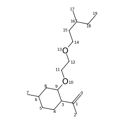 C=C(C)C1CCC(C)CC1OCCOCC[C](C)CC